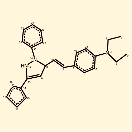 CCN(CC)c1ccc(C=CC2C=C(c3cccs3)NN2c2ccccc2)cc1